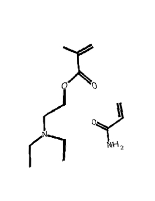 C=C(C)C(=O)OCCN(CC)CC.C=CC(N)=O